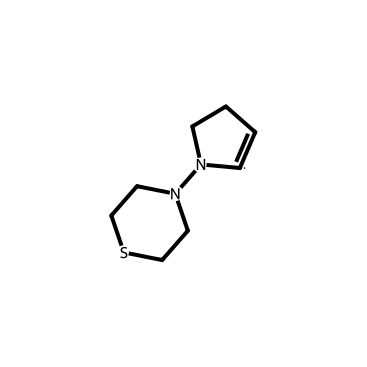 [C]1=CCCN1N1CCSCC1